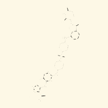 Cn1ncc(Nc2nc(NC3CCN(S(=O)(=O)C4CCC(Nc5cccc6c5CN(C5CCC(=O)NC5=O)C6=O)CC4)CC3)ncc2Br)c1C(N)=O